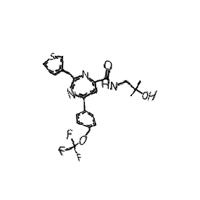 CC(C)(O)CNC(=O)c1cc(-c2ccc(OC(F)(F)F)cc2)nc(-c2ccsc2)n1